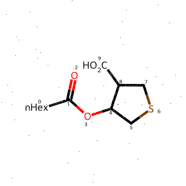 CCCCCCC(=O)OC1CSCC1C(=O)O